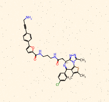 Cc1sc2c(c1C)C(c1ccc(Cl)cc1)=N[C@@H](CC(=O)NCCCNC(=O)c1ccc(-c3ccc(C#CCN)cc3)o1)c1nnc(C)n1-2